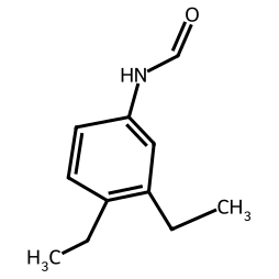 CCc1ccc(NC=O)cc1CC